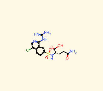 N=C(N)Nc1ncc(Cl)c2ccc(S(=O)(=O)N[C@@H](CCC(N)=O)C(=O)O)cc12